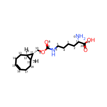 N[C@@H](CCCCNC(=O)OC[C@H]1[C@@H]2CC/C=C\CC[C@@H]21)C(=O)O